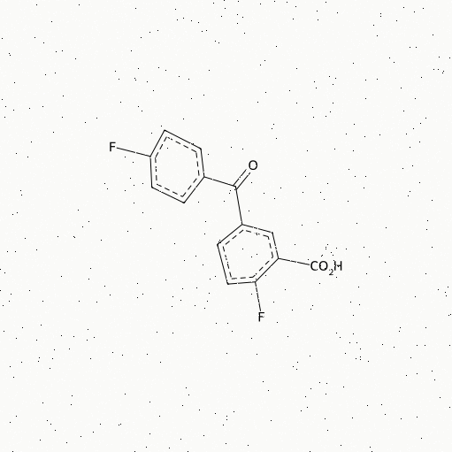 O=C(c1ccc(F)cc1)c1ccc(F)c(C(=O)O)c1